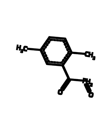 Cc1ccc(C)c(C(=O)[PH2]=O)c1